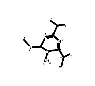 CSC1N=C(C(C)C)N=C(C(C)C)N1N